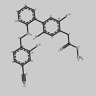 COC(=O)Cc1cc(F)c(-c2cccnc2OCc2ccc(C#N)cc2F)cc1F